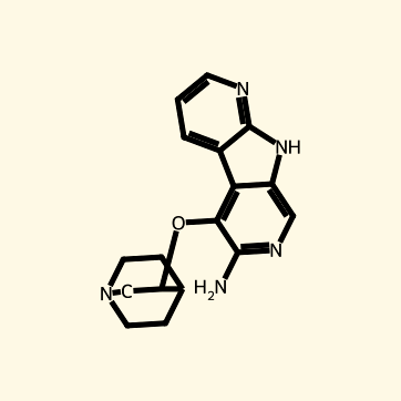 Nc1ncc2[nH]c3ncccc3c2c1OC1CN2CCC1CC2